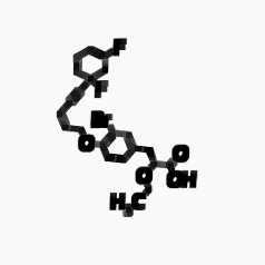 CCO[C@@H](Cc1ccc(OC/C=C\C#CC2(F)C=CC=C(F)C2)c(Br)c1)C(=O)O